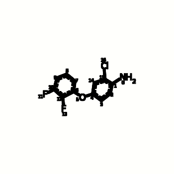 Nc1ccc(Oc2cccc(F)c2F)cc1Cl